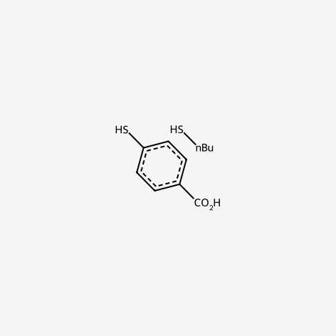 CCCCS.O=C(O)c1ccc(S)cc1